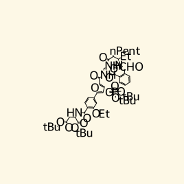 CCCCCC(C(=O)NCNC(=O)c1ccc(-c2ccc(C(=O)NC(CC(=O)OC(C)(C)C)C(=O)OC(C)(C)C)c(OCC)c2)o1)[C@@H](CC)N(C=O)OC(=O)c1c(C)cccc1OP(=O)(OC(C)(C)C)OC(C)(C)C